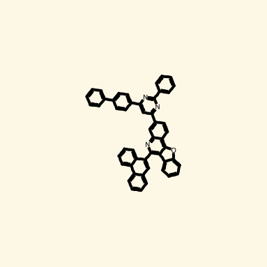 c1ccc(-c2ccc(-c3cc(-c4ccc5c(c4)nc(-c4cc6ccccc6c6ccccc46)c4c6ccccc6oc54)nc(-c4ccccc4)n3)cc2)cc1